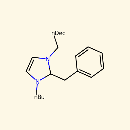 CCCCCCCCCCCN1C=CN(CCCC)C1Cc1ccccc1